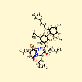 C=CCCCCc1cc(F)cc(C)c1-c1cc(C2CC2)c(F)c([C@H](CC(=O)OCC)NC(=O)[C@H](CC=C)n2cc(Br)c(C(F)(F)F)cc2=O)c1